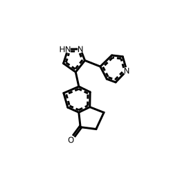 O=C1CCc2cc(-c3c[nH]nc3-c3ccncc3)ccc21